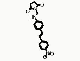 O=C1CCC(=O)N1CNc1ccc(C=Cc2ccc([N+](=O)[O-])cc2)cc1